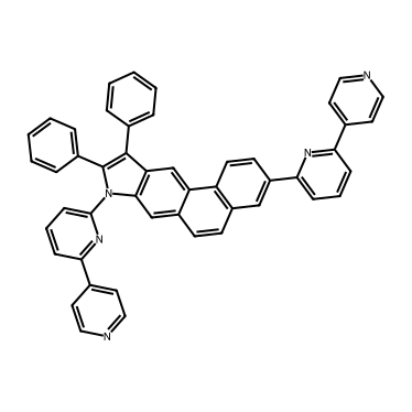 c1ccc(-c2c(-c3ccccc3)n(-c3cccc(-c4ccncc4)n3)c3cc4ccc5cc(-c6cccc(-c7ccncc7)n6)ccc5c4cc23)cc1